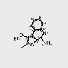 CCOn1c(C)nc2c(N)nc3ccccc3c21